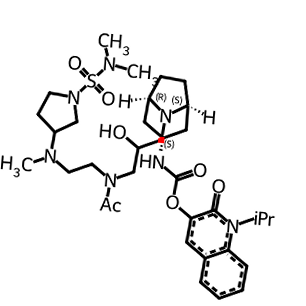 CC(=O)N(CCN(C)C1CCN(S(=O)(=O)N(C)C)C1)CC(O)CN1[C@@H]2CC[C@H]1C[C@H](NC(=O)Oc1cc3ccccc3n(C(C)C)c1=O)C2